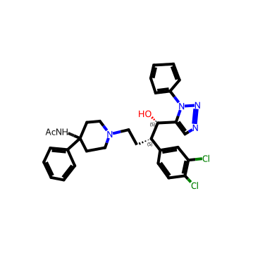 CC(=O)NC1(c2ccccc2)CCN(CC[C@@H](c2ccc(Cl)c(Cl)c2)[C@H](O)c2cnnn2-c2ccccc2)CC1